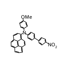 COc1ccc(N(c2ccc(-c3ccc([N+](=O)[O-])cc3)cc2)c2ccc3ccc4cccc5ccc2c3c45)cc1